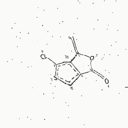 C=C1OC(=O)c2csc(Cl)c21